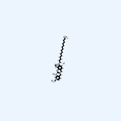 CCCCCCCCCCCCCCCCOc1ccc(CN(Cc2cc[n+](C)cc2)C(C)=O)cc1OC.[I-]